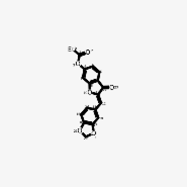 CCC(=O)Oc1ccc2c(c1)OC(=Cc1ccc3c(c1)OCO3)C2=O